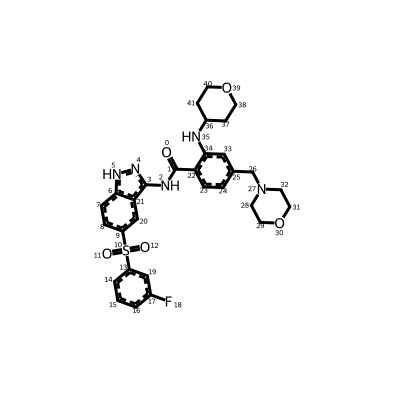 O=C(Nc1n[nH]c2ccc(S(=O)(=O)c3cccc(F)c3)cc12)c1ccc(CN2CCOCC2)cc1NC1CCOCC1